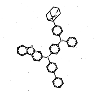 c1ccc(-c2ccc(N(c3ccc(N(c4ccccc4)c4ccc(C5CC6CC7CC(C6)CC5C7)cc4)cc3)c3ccc4c(c3)sc3ccccc34)cc2)cc1